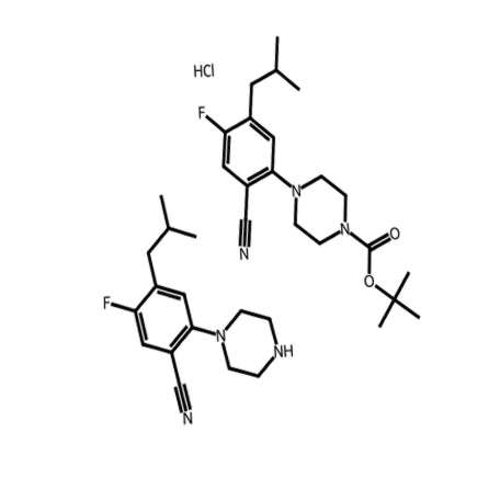 CC(C)Cc1cc(N2CCN(C(=O)OC(C)(C)C)CC2)c(C#N)cc1F.CC(C)Cc1cc(N2CCNCC2)c(C#N)cc1F.Cl